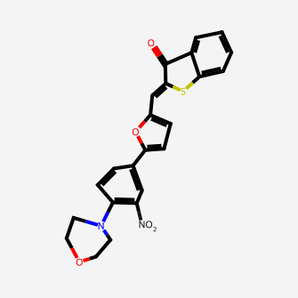 O=C1C(=Cc2ccc(-c3ccc(N4CCOCC4)c([N+](=O)[O-])c3)o2)Sc2ccccc21